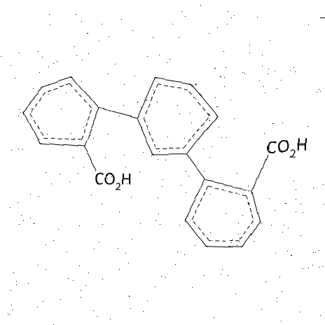 O=C(O)c1ccccc1-c1c[c]cc(-c2ccccc2C(=O)O)c1